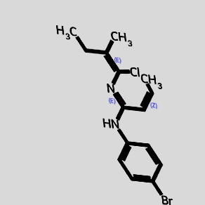 C\C=C/C(=N\C(Cl)=C(\C)CC)Nc1ccc(Br)cc1